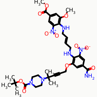 COC(=O)c1cc(OC)c(NC/C=C/CNc2c(OCC#CC(C)(C)N3CCN(C(=O)OC(C)(C)C)CC3)cc(C(N)=O)cc2[N+](=O)[O-])c([N+](=O)[O-])c1